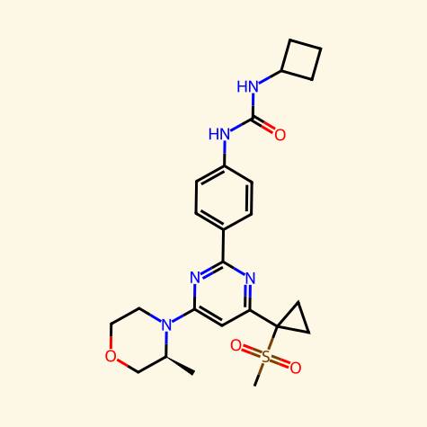 C[C@H]1COCCN1c1cc(C2(S(C)(=O)=O)CC2)nc(-c2ccc(NC(=O)NC3CCC3)cc2)n1